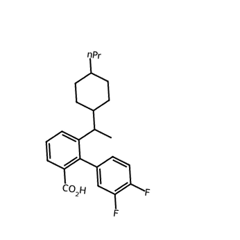 CCCC1CCC(C(C)c2cccc(C(=O)O)c2-c2ccc(F)c(F)c2)CC1